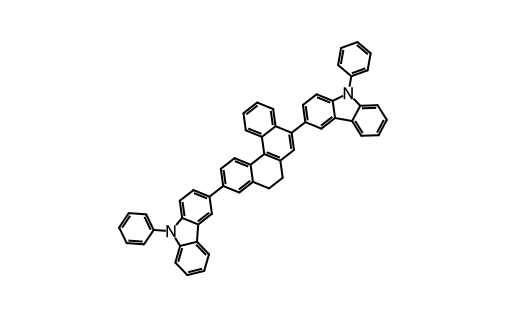 c1ccc(-n2c3ccccc3c3cc(-c4ccc5c(c4)CCc4cc(-c6ccc7c(c6)c6ccccc6n7-c6ccccc6)c6ccccc6c4-5)ccc32)cc1